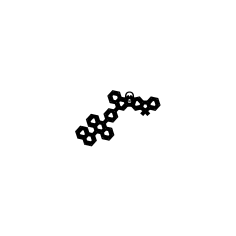 CC1(C)c2ccccc2-c2cc3oc4c5ccccc5c(-c5ccc(-c6c7ccccc7c(-c7cccc8ccccc78)c7ccccc67)cc5)cc4c3cc21